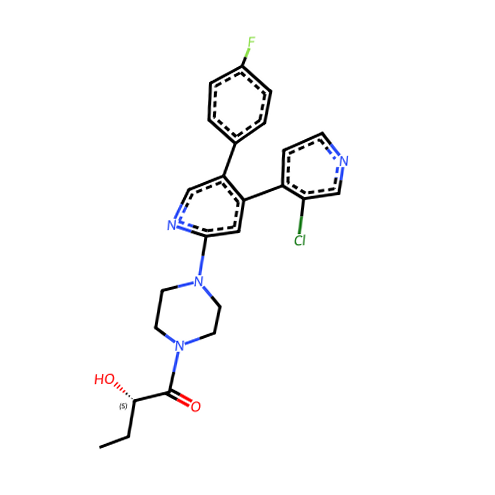 CC[C@H](O)C(=O)N1CCN(c2cc(-c3ccncc3Cl)c(-c3ccc(F)cc3)cn2)CC1